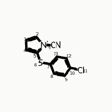 N#Cn1[c]ccc1Sc1ccc(Cl)cc1